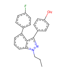 CCCn1nc(-c2ccc(O)cc2)c2c(-c3ccc(F)cc3)cccc21